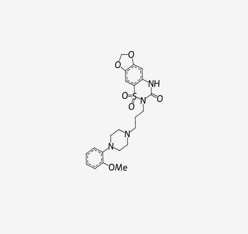 COc1ccccc1N1CCN(CCCN2C(=O)Nc3cc4c(cc3S2(=O)=O)OCO4)CC1